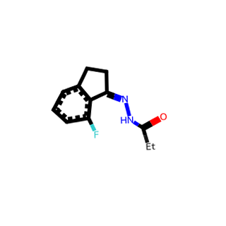 CCC(=O)N/N=C1/CCc2cccc(F)c21